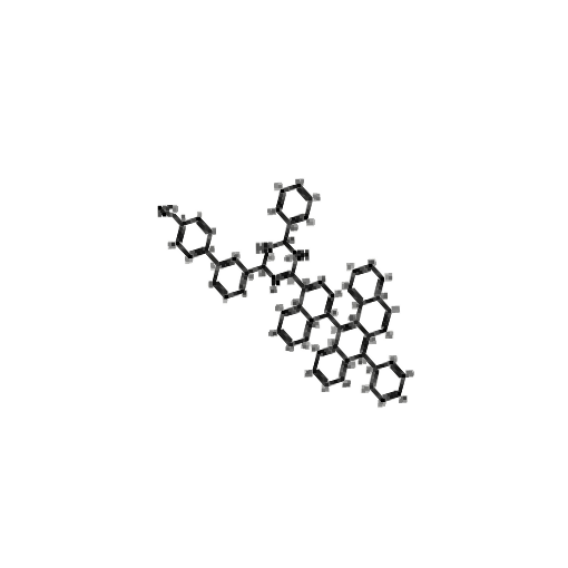 N#Cc1ccc(-c2cccc(C3N=C(c4ccc(-c5c6ccccc6c(-c6ccccc6)c6ccc7ccccc7c56)c5ccccc45)NC(c4ccccc4)N3)c2)cc1